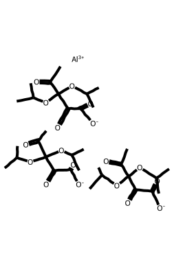 CC(=O)C(OC(C)C)(OC(C)C)C(=O)C(=O)[O-].CC(=O)C(OC(C)C)(OC(C)C)C(=O)C(=O)[O-].CC(=O)C(OC(C)C)(OC(C)C)C(=O)C(=O)[O-].[Al+3]